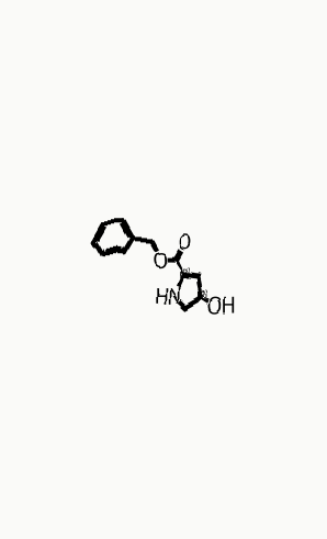 O=C(OCc1ccccc1)[C@H]1C[C@@H](O)CN1